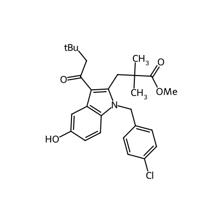 COC(=O)C(C)(C)Cc1c(C(=O)CC(C)(C)C)c2cc(O)ccc2n1Cc1ccc(Cl)cc1